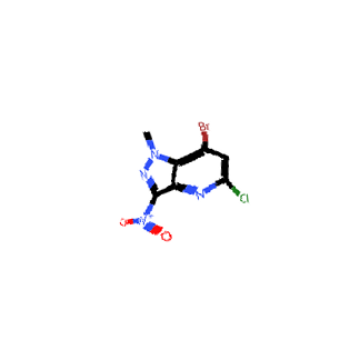 Cn1nc([N+](=O)[O-])c2nc(Cl)cc(Br)c21